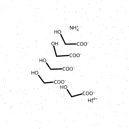 O=C([O-])CO.O=C([O-])CO.O=C([O-])CO.O=C([O-])CO.O=C([O-])CO.[Hf+4].[NH4+]